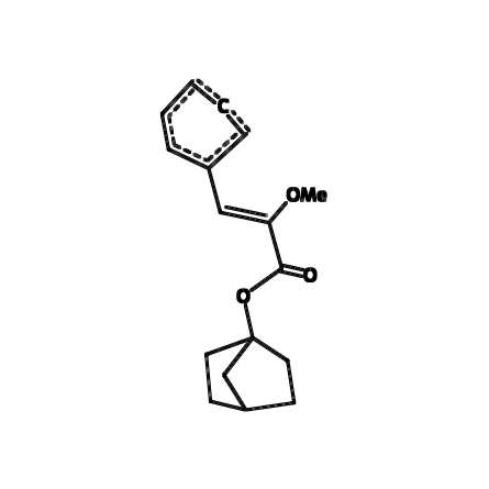 COC(=Cc1ccccc1)C(=O)OC12CCC(CC1)C2